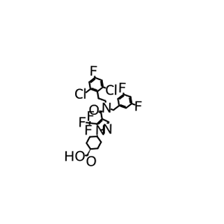 O=C(c1cnn([C@H]2CC[C@H](C(=O)O)CC2)c1C(F)(F)F)N(CCc1c(Cl)cc(F)cc1Cl)Cc1cc(F)cc(F)c1